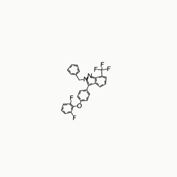 Fc1cccc(F)c1Oc1ccc(-c2c3cccc(C(F)(F)F)c3nn2Cc2ccccc2)cc1